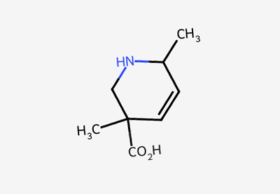 CC1C=CC(C)(C(=O)O)CN1